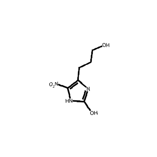 O=[N+]([O-])c1[nH]c(O)nc1CCCO